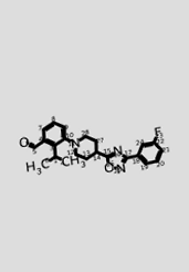 CC(C)c1c(C=O)cccc1N1CCC(c2nc(-c3cccc(F)c3)no2)CC1